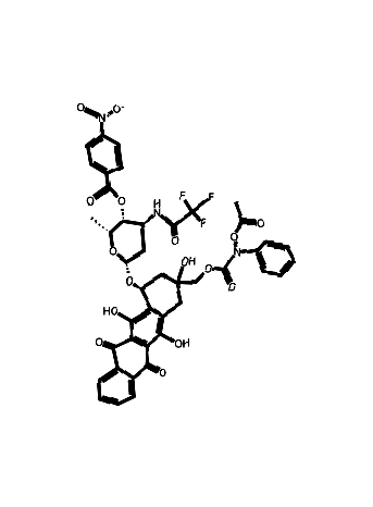 CC(=O)ON(C(=O)OCC1(O)Cc2c(O)c3c(c(O)c2[C@@H](O[C@H]2C[C@H](NC(=O)C(F)(F)F)[C@@H](OC(=O)c4ccc([N+](=O)[O-])cc4)[C@@H](C)O2)C1)C(=O)c1ccccc1C3=O)c1ccccc1